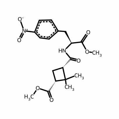 COC(=O)[C@H](Cc1ccc([N+](=O)[O-])cc1)NC(=O)[C@H]1C[C@@H](C(=O)OC)C1(C)C